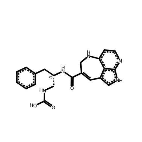 O=C(O)NC[C@H](Cc1ccccc1)NC(=O)C1=Cc2c[nH]c3nccc(c23)NC1